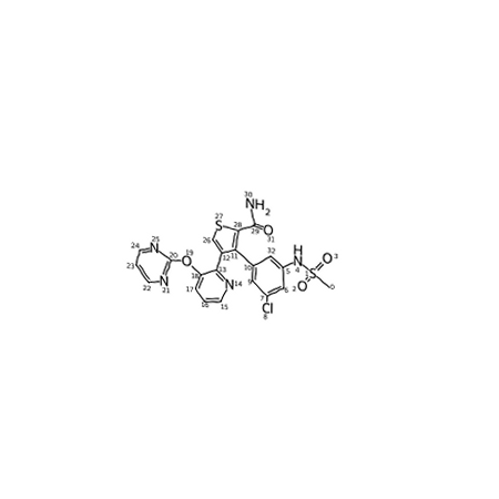 CS(=O)(=O)Nc1cc(Cl)cc(-c2c(-c3ncccc3Oc3ncccn3)csc2C(N)=O)c1